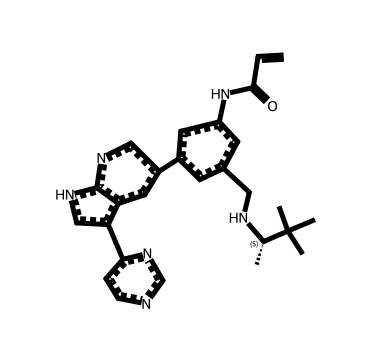 C=CC(=O)Nc1cc(CN[C@@H](C)C(C)(C)C)cc(-c2cnc3[nH]cc(-c4ccncn4)c3c2)c1